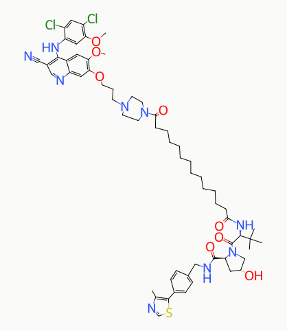 COc1cc(Nc2c(C#N)cnc3cc(OCCCN4CCN(C(=O)CCCCCCCCCCCCC(=O)N[C@H](C(=O)N5C[C@H](O)C[C@H]5C(=O)NCc5ccc(-c6scnc6C)cc5)C(C)(C)C)CC4)c(OC)cc23)c(Cl)cc1Cl